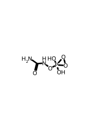 NC(=O)NOP1(O)(O)OO1